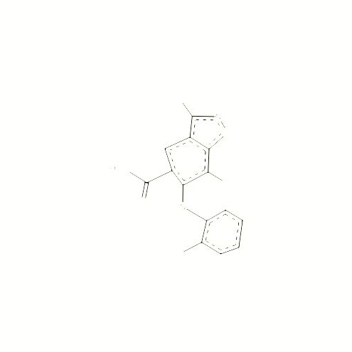 COC(=O)c1cc2c(C)noc2c(F)c1Nc1ccccc1F